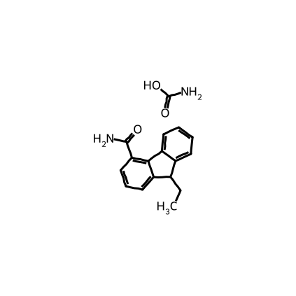 CCC1c2ccccc2-c2c(C(N)=O)cccc21.NC(=O)O